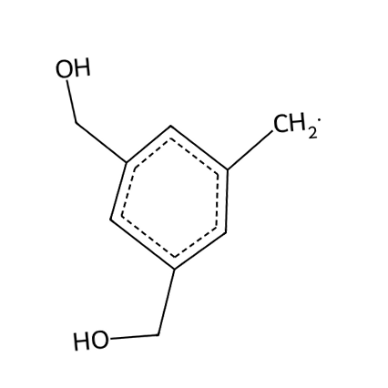 [CH2]c1cc(CO)cc(CO)c1